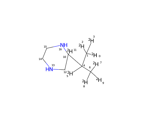 [2H]C([2H])([2H])C([2H])(C([2H])([2H])[2H])C1([2H])CNCCN1